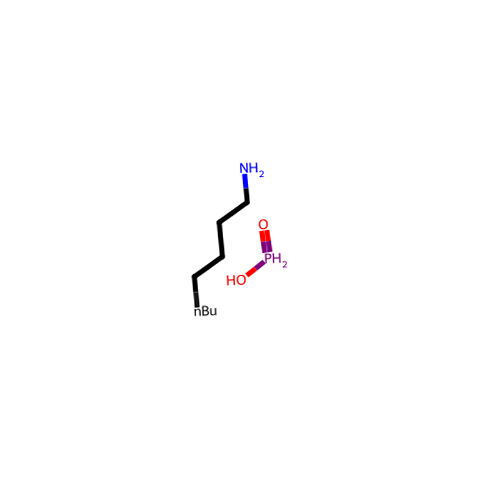 CCCCCCCCN.O=[PH2]O